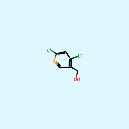 OCc1cpc(Cl)cc1Cl